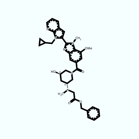 COc1cc(C(=O)N2C[C@H](O)C[C@@H](N(C)CC(=O)OCc3ccccc3)C2)cc2nc(-c3cc4cccnc4n3CC3CC3)n(C)c12